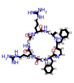 C=C1CNC(=O)C(CCCNC(=N)N)NC(=O)CNC(=O)C(CCCNC(=N)N)NC(=O)CNC(Cc2ccccc2)C2=NCC=C(O2)C(Cc2ccccc2)N1